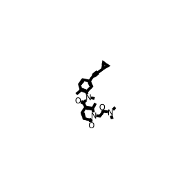 Cc1ccc(C#CC2CC2)cc1N(C)C(=O)c1ccc(=O)n(CC(=O)N(C)C)c1C